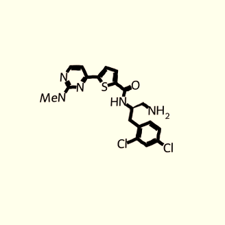 CNc1nccc(-c2ccc(C(=O)N[C@@H](CN)Cc3ccc(Cl)cc3Cl)s2)n1